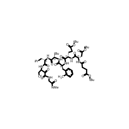 CNC(=O)CNC(=O)C(=O)C(CC(F)(F)F)NC(=O)[C@H](CC(C)C)NC(=O)[C@@H](NC(=O)[C@H](Cc1ccccc1C)NC(=O)[C@H](CCC(=O)OC(C)(C)C)NC(=O)[C@H](CC(=O)OC(C)(C)C)NC(=O)CCC(=O)OC(C)(C)C)C(C)(C)C